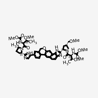 COC[C@H]1C[C@@H](c2nc3ccc4cc5c(cc4c3[nH]2)OCc2cc(-c3cnc([C@@H]4CC[C@H](C)N4C(=O)C(NC(=O)OC)[C@@H](C)OC)[nH]3)ccc2-5)N(C(=O)[C@@H](NC(=O)OC)[C@@H](C)OC)C1